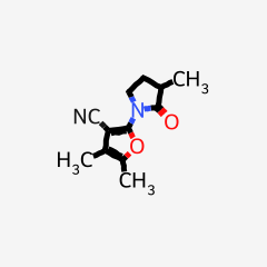 Cc1oc(N2CCC(C)C2=O)c(C#N)c1C